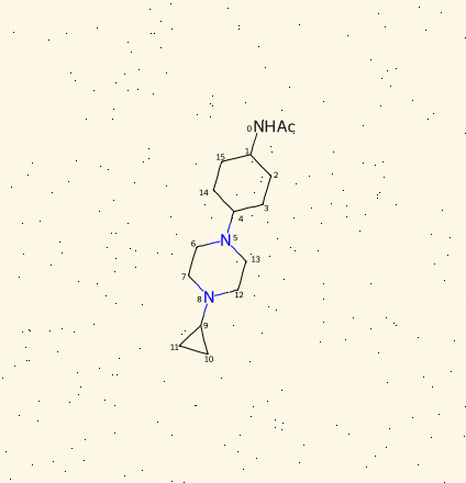 CC(=O)NC1CCC(N2CCN(C3CC3)CC2)CC1